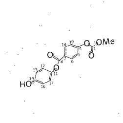 COC(=O)Oc1ccc(C(=O)Oc2ccc(O)cc2)cc1